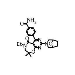 CCN1CC(C)(C)Oc2nc(N3CC4CCC(C3)O4)nc(-c3ccc(C(N)=O)cc3)c2C1=O